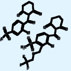 CS(=O)(=O)c1ccc(C(=O)C2C(=O)CCCC2=O)c(Cl)c1.CS(=O)(=O)c1ccc(C(=O)C2C(=O)CCCC2=O)c(Cl)c1COCC(F)(F)F